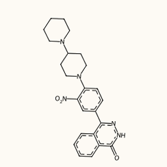 O=c1[nH]nc(-c2ccc(N3CCC(N4CCCCC4)CC3)c([N+](=O)[O-])c2)c2ccccc12